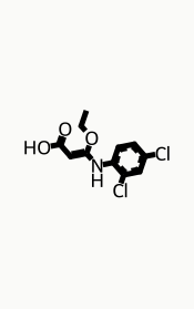 CCOC(=CC(=O)O)Nc1ccc(Cl)cc1Cl